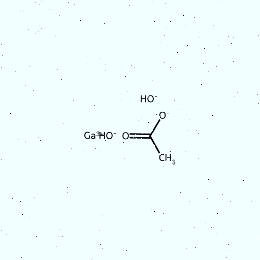 CC(=O)[O-].[Ga+3].[OH-].[OH-]